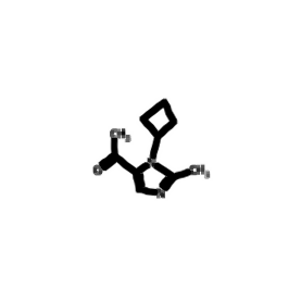 CC(=O)c1cnc(C)n1C1CCC1